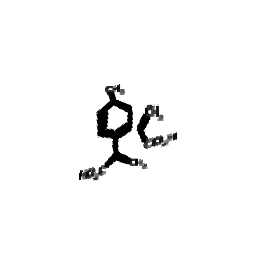 C=C(C(=O)O)c1ccc(C)cc1.C=CC(=O)O